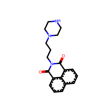 O=C1c2cccc3cccc(c23)C(=O)N1CCCN1CCNCC1